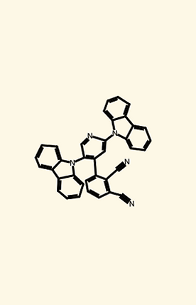 N#Cc1cccc(-c2cc(-n3c4ccccc4c4ccccc43)ncc2-n2c3ccccc3c3ccccc32)c1C#N